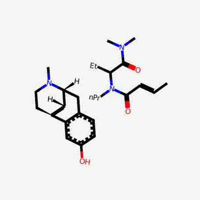 C/C=C/C(=O)N(CCC)C(CC)C(=O)N(C)C.CN1CC[C@]23CCCC[C@H]2[C@H]1Cc1ccc(O)cc13